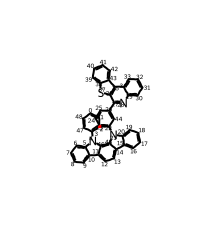 c1ccc(-n2c3ccccc3c3ccc4c5ccccc5n(-c5cccc(-c6nc7ccccc7c7c6sc6ccccc67)c5)c4c32)cc1